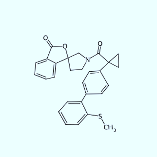 CSc1ccccc1-c1ccc(C2(C(=O)N3CCC4(C3)OC(=O)c3ccccc34)CC2)cc1